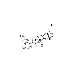 CON=C(C(=O)NC1C(=O)N2C(C(=O)[O-])=C(C[n+]3ccccc3CCO)CS[C@@H]12)c1nsc(N)n1